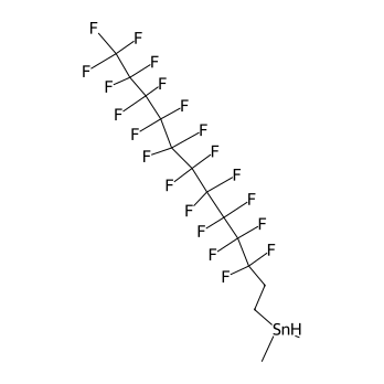 [CH3][SnH]([CH3])[CH2]CC(F)(F)C(F)(F)C(F)(F)C(F)(F)C(F)(F)C(F)(F)C(F)(F)C(F)(F)C(F)(F)C(F)(F)F